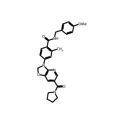 COc1ccc(CNC(=O)c2ccc(N3COc4cc(C(=O)N5CCCC5)cnc43)cc2C)cc1